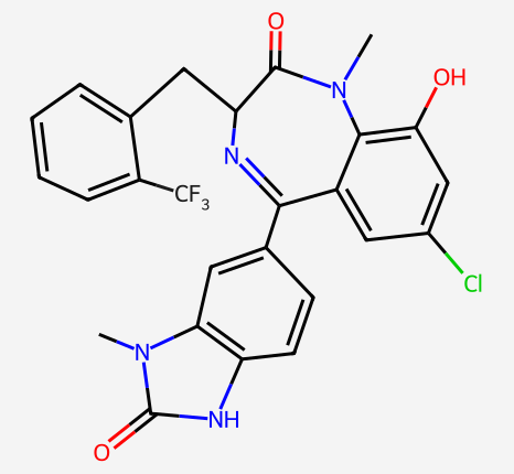 CN1C(=O)C(Cc2ccccc2C(F)(F)F)N=C(c2ccc3[nH]c(=O)n(C)c3c2)c2cc(Cl)cc(O)c21